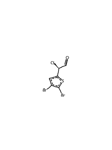 O=C[C@H](Cl)c1cc(Br)c(Br)s1